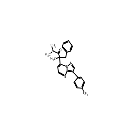 CN(C)C(=O)C(C)(Cc1ccccc1)c1ccnc2c(-c3ccc(C(F)(F)F)cc3)cnn12